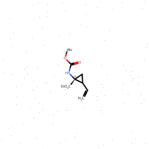 C=CC1C[C@]1(NC(=O)OC(C)(C)C)C(=O)OCC